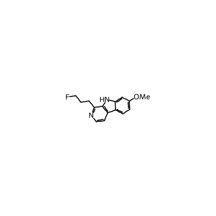 COc1ccc2c(c1)[nH]c1c(CCCF)nccc12